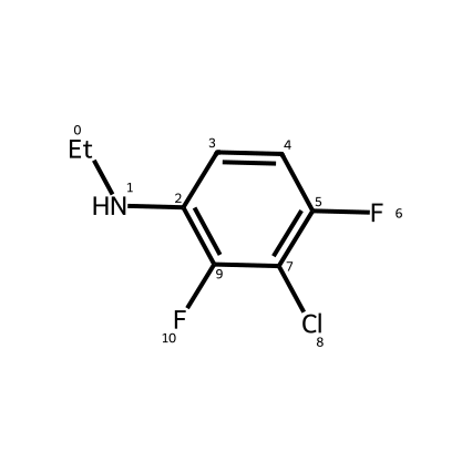 CCNc1ccc(F)c(Cl)c1F